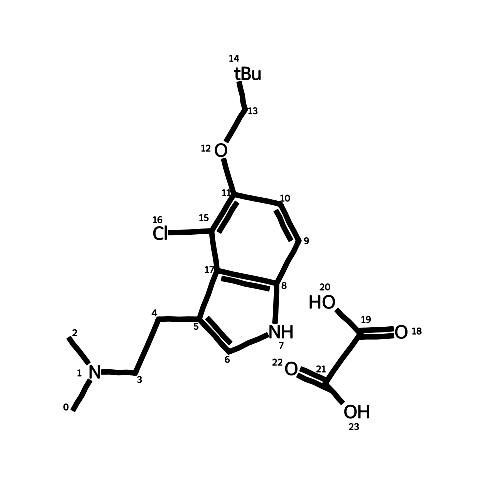 CN(C)CCc1c[nH]c2ccc(OCC(C)(C)C)c(Cl)c12.O=C(O)C(=O)O